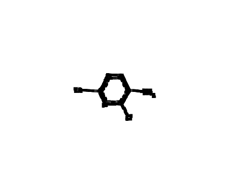 CCc1ccc(N)c(Cl)n1